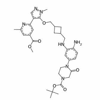 COC(=O)c1cc(C)nc(-c2cnn(C)c2OCC2CC(CNc3cc(N4CCN(C(=O)OC(C)(C)C)CC4=O)ccc3N)C2)c1